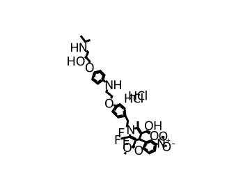 COC(=O)C1=C(C(F)(F)F)N(CCc2ccc(OCCNc3ccc(OCC(O)CNC(C)C)cc3)cc2)C(C)=C(C(=O)O)C1c1cccc([N+](=O)[O-])c1.Cl.Cl